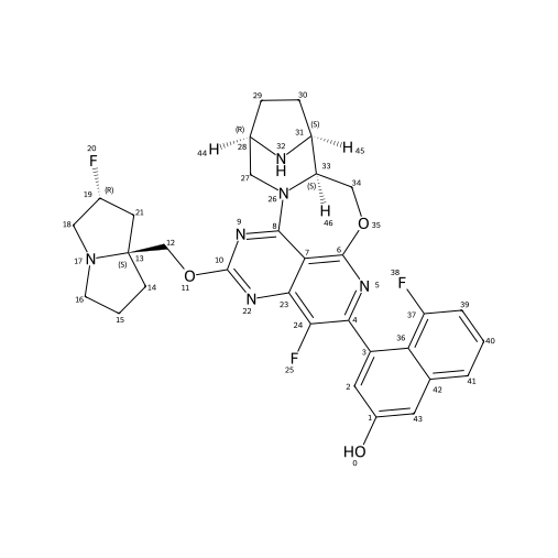 Oc1cc(-c2nc3c4c(nc(OC[C@@]56CCCN5C[C@H](F)C6)nc4c2F)N2C[C@H]4CC[C@H](N4)[C@H]2CO3)c2c(F)cccc2c1